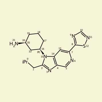 CC(C)Cc1nc2cnc(-c3ncns3)cc2n1[C@@H]1CCC[C@H](N)C1